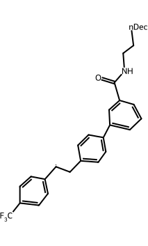 CCCCCCCCCCCCNC(=O)c1cccc(-c2ccc(C[CH]c3ccc(C(F)(F)F)cc3)cc2)c1